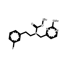 CSc1nccc(CN(CCc2cccc(F)c2)C(=O)OC(C)(C)C)n1